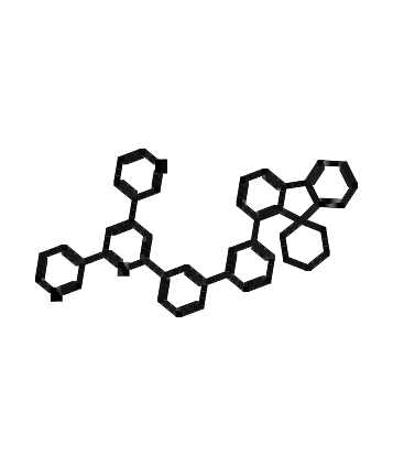 c1cncc(-c2cc(-c3cccnc3)nc(-c3cccc(-c4cccc(-c5cccc6c5C5(CCCCC5)c5ccccc5-6)c4)c3)c2)c1